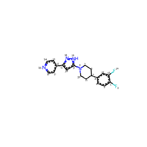 Fc1ccc(C2CCN(c3cc(-c4ccncc4)n[nH]3)CC2)cc1F